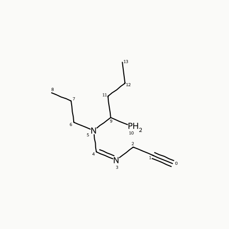 C#CC/N=C\N(CCC)C(P)CCC